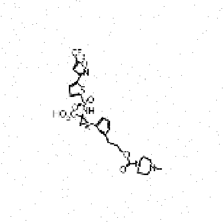 CN1CCN(C(=O)OCCCc2cccc([C@H]3C[C@@]3(NS(=O)(=O)c3ccc(-c4cc(C(F)(F)F)on4)s3)C(=O)O)c2)CC1